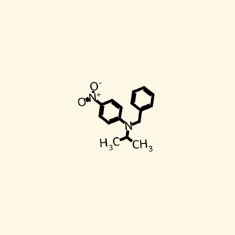 CC(C)N(Cc1ccccc1)c1ccc([N+](=O)[O-])cc1